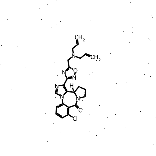 C=CCN(CC=C)Cc1nc(-c2ncn3c2[C@@H]2CCCN2C(=O)c2c(Cl)cccc2-3)no1